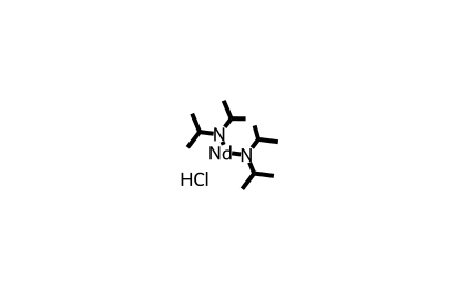 CC(C)[N]([Nd][N](C(C)C)C(C)C)C(C)C.Cl